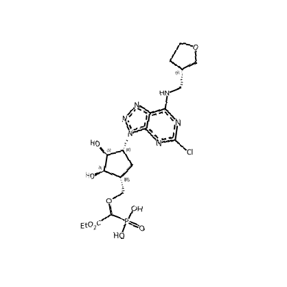 CCOC(=O)C(OC[C@H]1C[C@@H](n2nnc3c(NC[C@@H]4CCOC4)nc(Cl)nc32)[C@H](O)[C@@H]1O)P(=O)(O)O